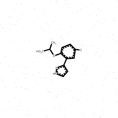 CC(Oc1ccc(Cl)cc1-c1cc[nH]n1)C(=O)O